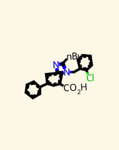 CCCCc1nc2cc(-c3ccccc3)cc(C(=O)O)c2n1Cc1ccccc1Cl